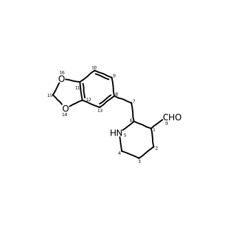 O=CC1CCCNC1Cc1ccc2c(c1)OCO2